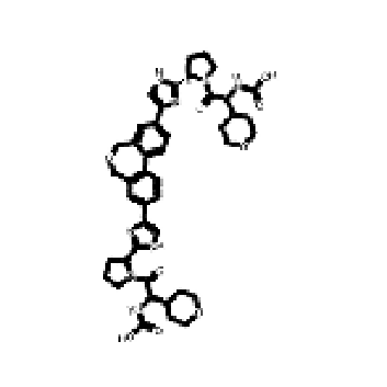 O=C(O)NC(C(=O)N1CCCC1c1nc(-c2ccc3c(c2)COCc2cc(-c4c[nH]c([C@@H]5CCCN5C(=O)C(NC(=O)O)C5CCOCC5)n4)ccc2-3)c[nH]1)C1CCOCC1